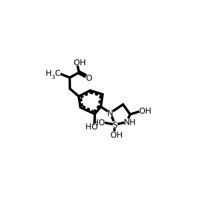 CC(Cc1ccc(N2CC(O)NS2(O)O)c(O)c1)C(=O)O